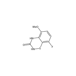 COc1ccc(F)c2c1NC(=O)NS2